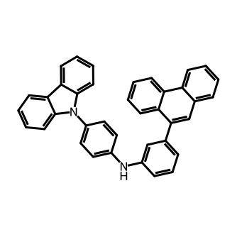 c1cc(Nc2ccc(-n3c4ccccc4c4ccccc43)cc2)cc(-c2cc3ccccc3c3ccccc23)c1